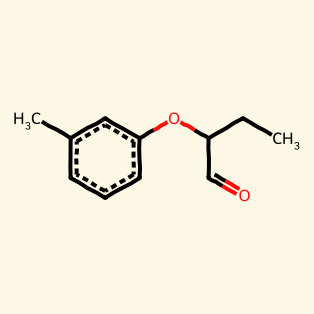 CCC(C=O)Oc1cccc(C)c1